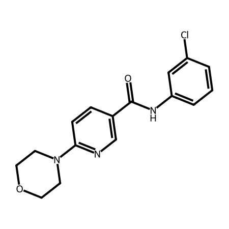 O=C(Nc1cccc(Cl)c1)c1ccc(N2CCOCC2)nc1